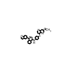 COc1cnc2c(Sc3ccc(Nc4nnc(-c5ccc6occc6c5)c5ccccc45)cc3)ccnc2c1